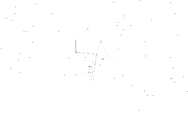 CC12CCC(C(Br)C1=O)C2(C)CCl